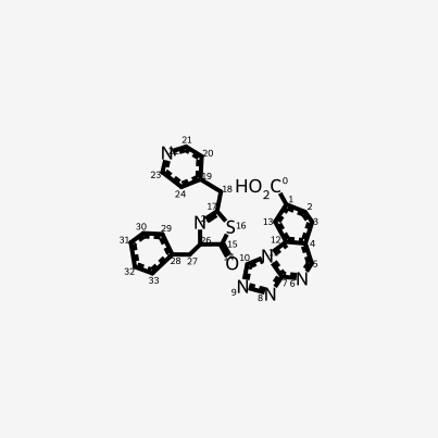 O=C(O)c1ccc2cnc3nncn3c2c1.O=C1SC(Cc2ccncc2)=NC1Cc1ccccc1